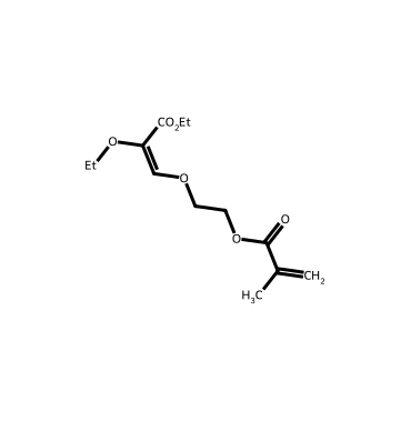 C=C(C)C(=O)OCCOC=C(OCC)C(=O)OCC